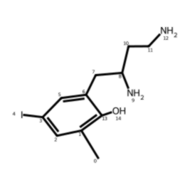 Cc1cc(I)cc(CC(N)CCN)c1O